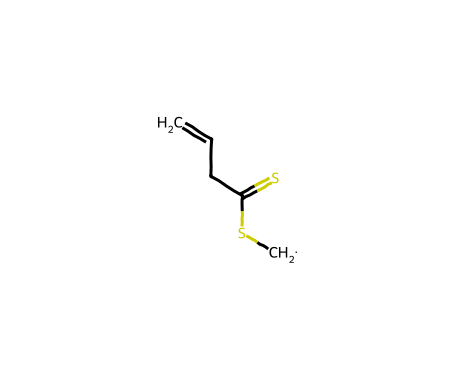 [CH2]SC(=S)CC=C